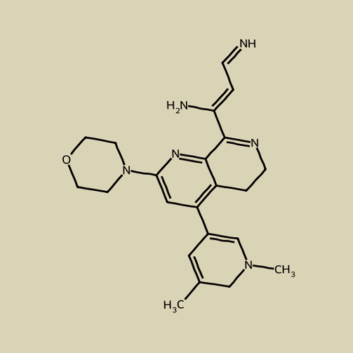 CC1=CC(c2cc(N3CCOCC3)nc3c2CCN=C3/C(N)=C/C=N)=CN(C)C1